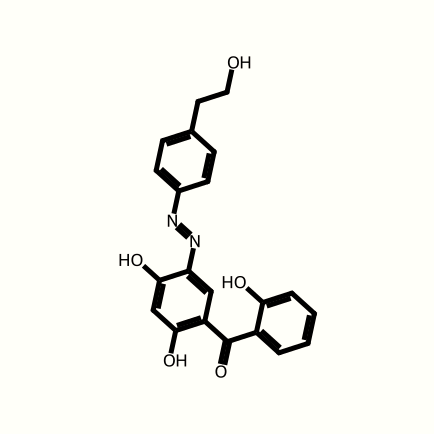 O=C(c1ccccc1O)c1cc(/N=N/c2ccc(CCO)cc2)c(O)cc1O